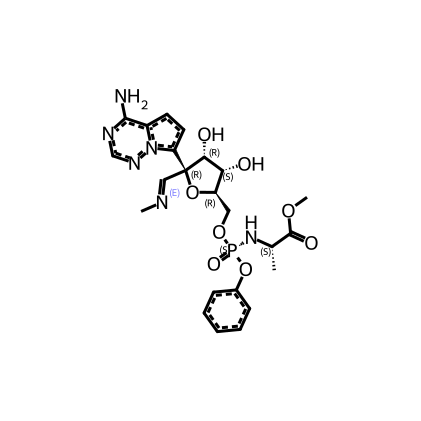 C/N=C/[C@@]1(c2ccc3c(N)ncnn23)O[C@H](CO[P@@](=O)(N[C@@H](C)C(=O)OC)Oc2ccccc2)[C@@H](O)[C@H]1O